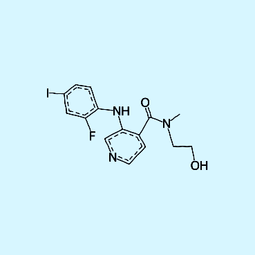 CN(CCO)C(=O)c1ccncc1Nc1ccc(I)cc1F